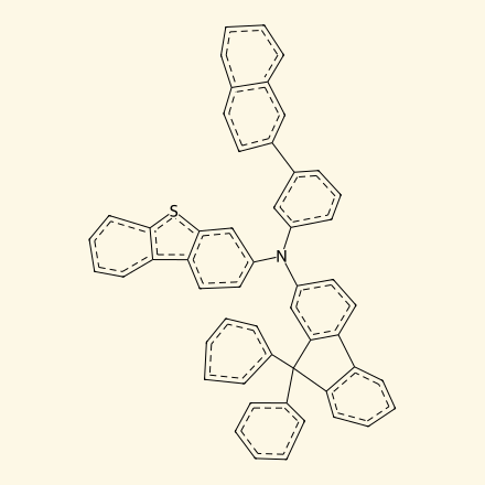 c1ccc(C2(c3ccccc3)c3ccccc3-c3ccc(N(c4cccc(-c5ccc6ccccc6c5)c4)c4ccc5c(c4)sc4ccccc45)cc32)cc1